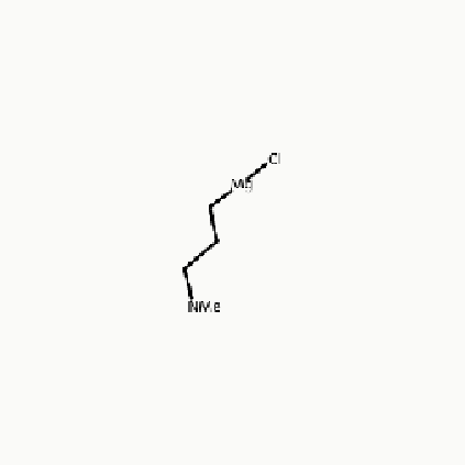 CNCC[CH2][Mg][Cl]